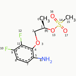 C[C@H](COc1c(N)ccc(F)c1F)OS(C)(=O)=O